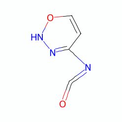 O=C=NC1=NNOC=C1